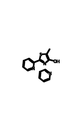 Cc1sc(-c2ccccn2)nc1O.c1ccncc1